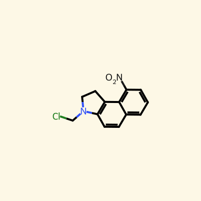 O=[N+]([O-])c1cccc2ccc3c(c12)CCN3CCl